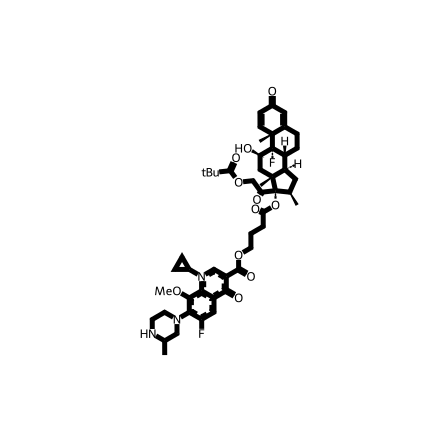 COc1c(N2CCNC(C)C2)c(F)cc2c(=O)c(C(=O)OCCCC(=O)O[C@@]3(C(=O)COC(=O)C(C)(C)C)[C@H](C)C[C@@H]4[C@H]5CCC6=CC(=O)C=C[C@@]6(C)[C@]5(F)[C@H](O)C[C@]43C)cn(C3CC3)c12